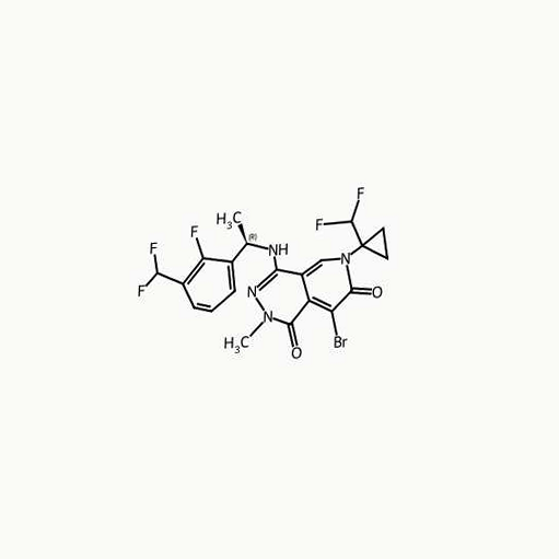 C[C@@H](Nc1nn(C)c(=O)c2c(Br)c(=O)n(C3(C(F)F)CC3)cc12)c1cccc(C(F)F)c1F